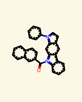 O=C(c1ccc2ccccc2c1)n1c2ccccc2c2cc3ccn(-c4ccccc4)c3cc21